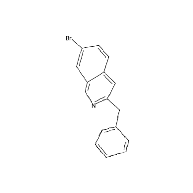 Brc1ccc2cc(Cc3ccccc3)ncc2c1